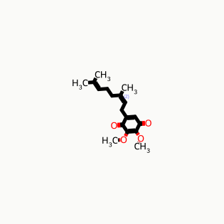 COC1=C(OC)C(=O)C(C/C=C(/C)CCC=C(C)C)=CC1=O